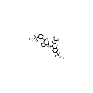 CC(F)(F)c1ccc(C(NC(=O)[C@H]2CCCN2C(=O)c2cccc(S(C)(=O)=O)c2)C2CNC(=O)C2)c(F)c1